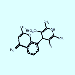 C=C1C=C(C)Oc2c1cccc2[C@@H]1C(CC)=C(C)NC(C)=C1C(=O)OCC